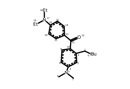 CCC(C)Cc1cc(N(C)C)ccc1C(=O)c1ccc(N(CC)CC)cc1